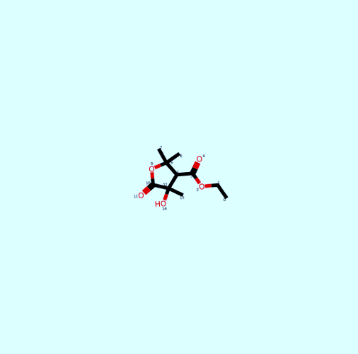 CCOC(=O)C1C(C)(C)OC(=O)C1(C)O